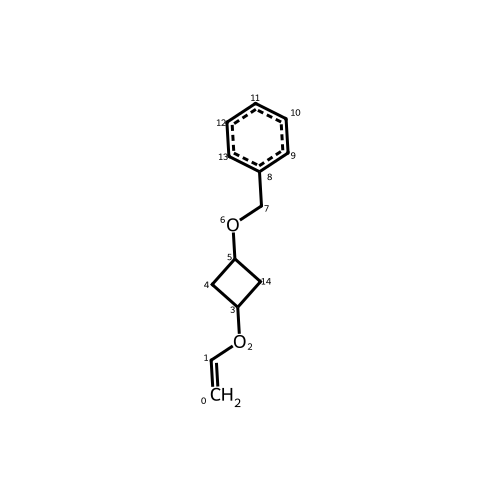 C=COC1CC(OCc2ccccc2)C1